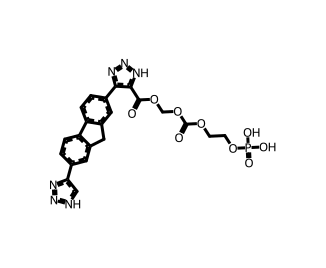 O=C(OCCOP(=O)(O)O)OCOC(=O)c1[nH]nnc1-c1ccc2c(c1)Cc1cc(-c3c[nH]nn3)ccc1-2